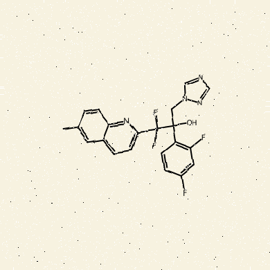 Cc1ccc2nc(C(F)(F)C(O)(Cn3cncn3)c3ccc(F)cc3F)ccc2c1